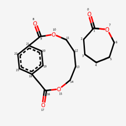 O=C1CCCCCO1.O=C1OCCCCOC(=O)c2ccc1cc2